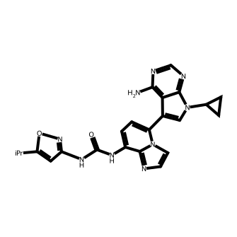 CC(C)c1cc(NC(=O)Nc2ccc(-c3cn(C4CC4)c4ncnc(N)c34)n3ccnc23)no1